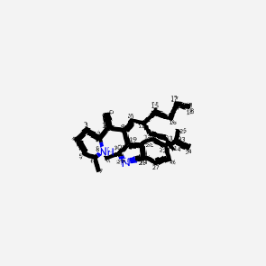 C=C(C1=CC=CC(C)N1)/C(=C/C(C=CC)CCCC)C1=c2cc(C(=C)C)ccc2=NC1C